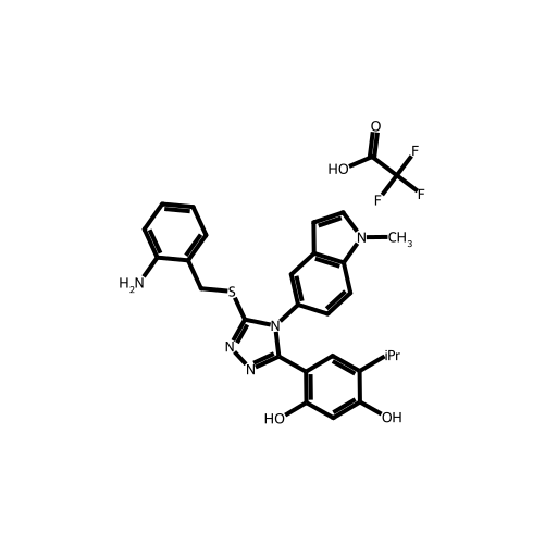 CC(C)c1cc(-c2nnc(SCc3ccccc3N)n2-c2ccc3c(ccn3C)c2)c(O)cc1O.O=C(O)C(F)(F)F